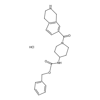 Cl.O=C(NC1CCN(C(=O)c2ccc3c(c2)CNCC3)CC1)OCc1ccccc1